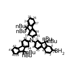 Bc1ccc2c(c1)C(CCCC)(CCCC)c1cc(N(c3ccc4c(c3)C(CCCC)(CCCC)c3ccccc3-4)c3ccc4c(c3)C(CCCC)(CCCC)c3ccccc3-4)ccc1-2